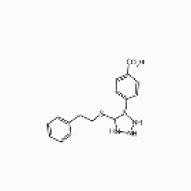 O=C(O)c1ccc(N2NNNC2SCCc2ccccc2)cc1